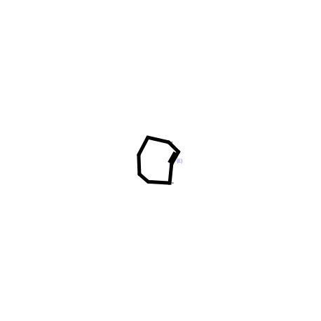 [CH]1/C=C/[CH]CCCC1